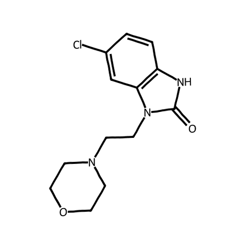 O=c1[nH]c2ccc(Cl)cc2n1CCN1CCOCC1